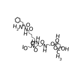 C[C@@H]1O[C@@H](OCCNC(=O)CC(NC(=O)CCCCC(=O)NC(=O)[C@@H](N)Cc2ccccc2)C(=O)NCCOI)[C@@H](O)C[C@@H]1O